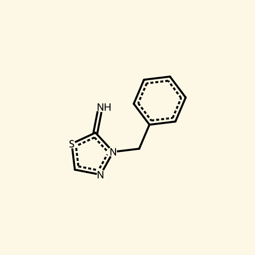 N=c1scnn1Cc1ccccc1